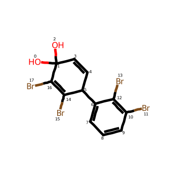 OC1(O)C=CC(c2cccc(Br)c2Br)C(Br)=C1Br